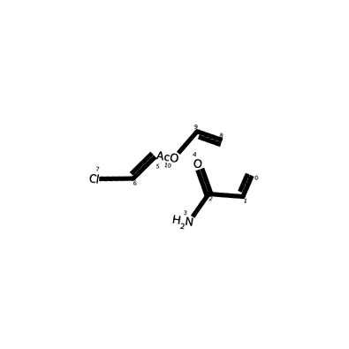 C=CC(N)=O.C=CCl.C=COC(C)=O